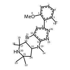 COc1cccc(F)c1-c1cc(Br)c(N(C)C2CC(C)(C)NC(C)(C)C2)nn1